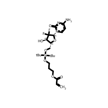 C=CC(=O)OCCCO[Si](OC[C@H]1O[C@@H](n2ccc(N)nc2=O)C(F)(F)[C@@H]1O)(C(C)(C)C)C(C)(C)C